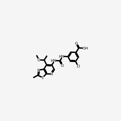 COC(C)c1c(NC(=O)Nc2cc(Cl)cc(C(=O)O)c2)cnc2sc(C)nc12